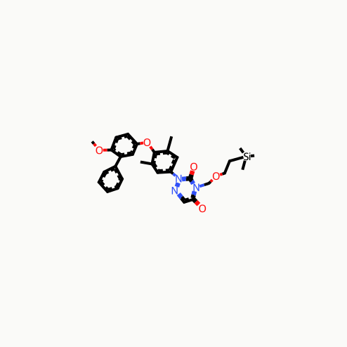 COc1ccc(Oc2c(C)cc(-n3ncc(=O)n(COCC[Si](C)(C)C)c3=O)cc2C)cc1-c1ccccc1